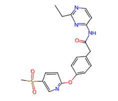 CCc1nccc(NC(=O)Cc2ccc(Oc3ccc(S(C)(=O)=O)cn3)cc2)n1